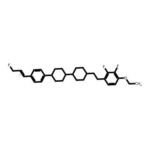 CCOc1ccc(CCC2CCC(C3CCC(c4ccc(/C=C/CF)cc4)CC3)CC2)c(F)c1F